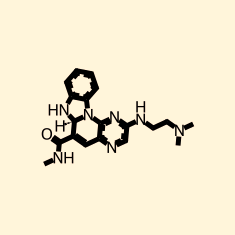 CNC(=O)C1=Cc2ncc(NCCN(C)C)nc2N2c3ccccc3N[C@H]12